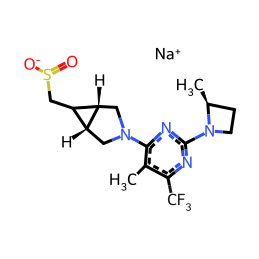 Cc1c(N2C[C@@H]3C(CS(=O)[O-])[C@@H]3C2)nc(N2CC[C@@H]2C)nc1C(F)(F)F.[Na+]